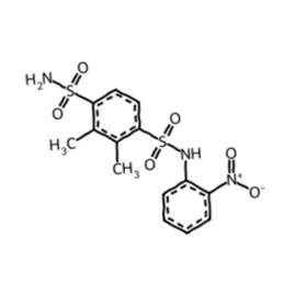 Cc1c(S(N)(=O)=O)ccc(S(=O)(=O)Nc2ccccc2[N+](=O)[O-])c1C